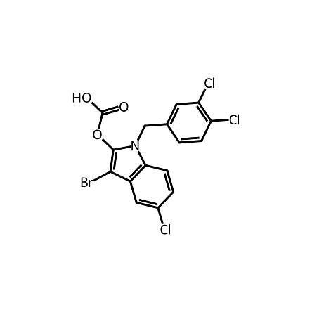 O=C(O)Oc1c(Br)c2cc(Cl)ccc2n1Cc1ccc(Cl)c(Cl)c1